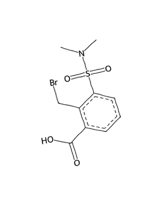 CN(C)S(=O)(=O)c1cccc(C(=O)O)c1CBr